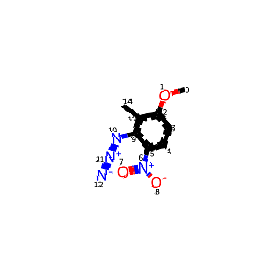 COc1ccc([N+](=O)[O-])c(N=[N+]=[N-])c1C